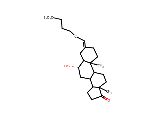 CCOC(=O)CCCC/C=C1/CC[C@]2(C)C3CCC4(C)C(=O)CCC4C3C[C@H](O)C2C1